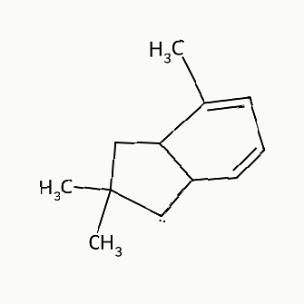 CC1=CC=CC2[C]C(C)(C)CC12